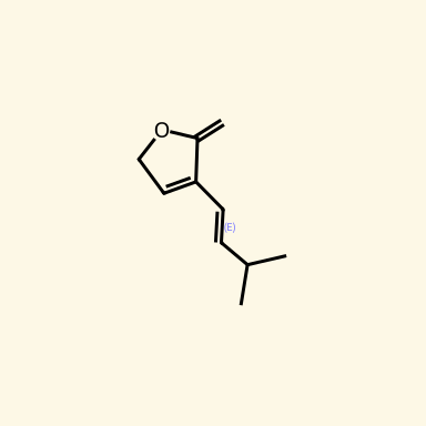 C=C1OCC=C1/C=C/C(C)C